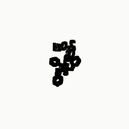 CCOC(=O)COC1=CC=CC(=CC2SC(=Nc3ccccc3)N(c3ccccc3)C2=C=O)C1